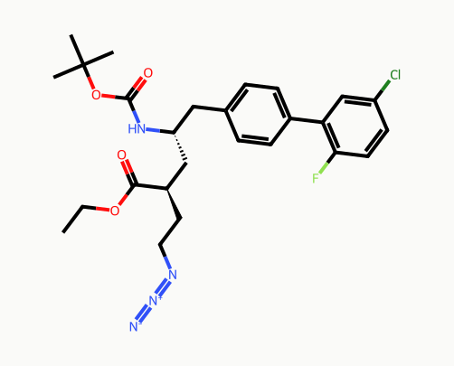 CCOC(=O)[C@H](CCN=[N+]=[N-])C[C@@H](Cc1ccc(-c2cc(Cl)ccc2F)cc1)NC(=O)OC(C)(C)C